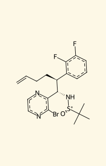 C=CCC[C@@H](c1cccc(F)c1F)[C@H](N[S@+]([O-])C(C)(C)C)c1nccnc1Br